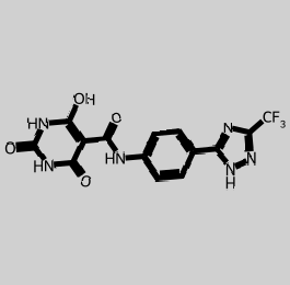 O=C(Nc1ccc(-c2nc(C(F)(F)F)n[nH]2)cc1)c1c(O)[nH]c(=O)[nH]c1=O